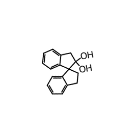 OC1(O)Cc2ccccc2C12CCc1ccccc12